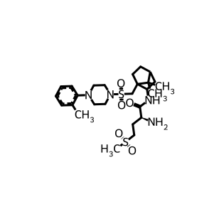 Cc1ccccc1N1CCN(S(=O)(=O)CC23CCC(CC2NC(=O)[C@@H](N)CCS(C)(=O)=O)C3(C)C)CC1